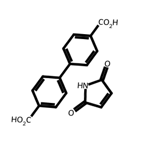 O=C(O)c1ccc(-c2ccc(C(=O)O)cc2)cc1.O=C1C=CC(=O)N1